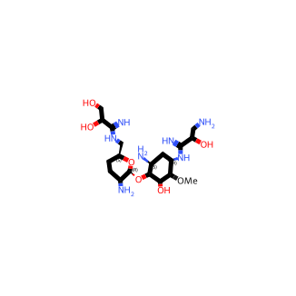 COC1C(O)C(O[C@H]2O[C@H](CNC(=N)C(O)CO)CCC2N)[C@@H](N)C[C@H]1NC(=N)C(O)CN